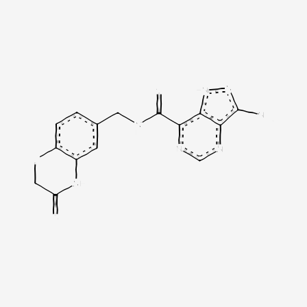 Nc1n[nH]c2c(C(=O)NCc3ccc4c(c3)NC(=O)CO4)ncnc12